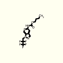 CCCCOC(=O)Nc1cc2cnn(CC(F)(F)C(F)(F)F)c2cn1